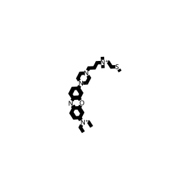 CC[N+](CC)=c1ccc2nc3ccc(N4CCN(CCC[N+](C)(C)CCSC)CC4)cc3oc-2c1